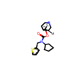 O=C(O[C@H]1CN2CCC1CC2)N(Cc1cccs1)C1CCCC1